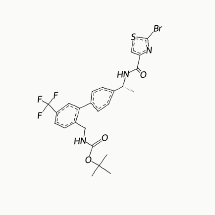 C[C@@H](NC(=O)c1csc(Br)n1)c1ccc(-c2cc(C(F)(F)F)ccc2CNC(=O)OC(C)(C)C)cc1